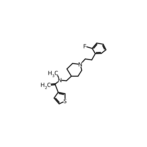 C=C(c1ccsc1)N(C)CC1CCN(CCc2ccccc2F)CC1